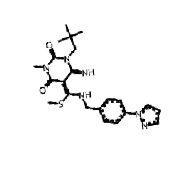 CS/C(NCc1ccc(-n2cccn2)cc1)=C1/C(=N)N(CC(C)(C)C)C(=O)N(C)C1=O